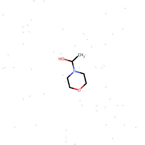 [CH2]C(O)N1CCOCC1